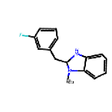 CC(C)(C)N1c2ccccc2NC1Cc1cccc(F)c1